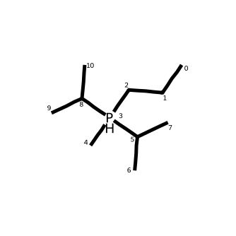 CCC[PH](C)(C(C)C)C(C)C